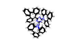 c1ccc2c(c1)-c1ccccc1C(c1nc(N3c4ccccc4-c4ccccc4-c4ccccc43)nc(N3c4ccccc4-c4ccccc4-c4ccccc43)n1)c1ccccc1-2